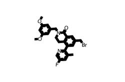 COc1cc(CN2CCc3c(cc(CBr)cc3-c3ncc(F)cc3C)C2=O)cc(OC)c1